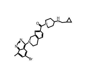 Cc1cc(Br)cc2c(N3CCc4ccc(C(=O)N5CCC(NCC6CC6)CC5)cc4C3)ncnc12